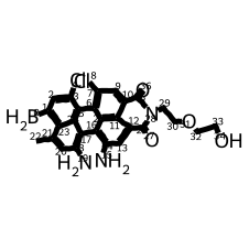 Bc1cc(Cl)c2c3c(Cl)cc4c5c(cc(N)c(c6c(N)cc(C)c1c62)c53)C(=O)N(CCOCCO)C4=O